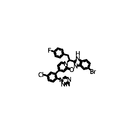 O=c1cc(-c2cc(Cl)ccc2-n2cnnn2)ccn1C(Cc1ccc(F)cc1)c1nc2cc(Br)ccc2[nH]1